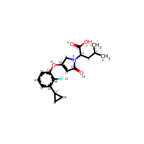 CC(C)CC(C(=O)O)N1CC(Oc2cccc(C3CC3)c2F)=CC1=O